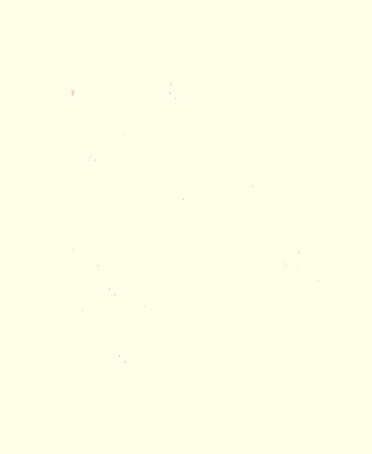 Cc1ccc(-c2c(CN)c(CC(C)C)nc3ccc(N4CC(=O)NCC4=O)cc23)cc1.Cl.Cl